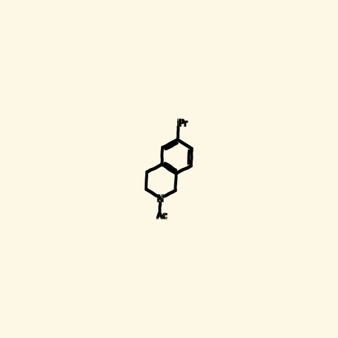 CC(=O)N1CCc2cc(C(C)C)ccc2C1